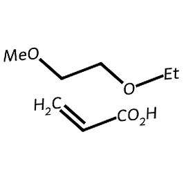 C=CC(=O)O.CCOCCOC